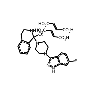 CCC1(N2CCN(c3n[nH]c4cc(F)ccc34)CC2)NCCc2ccccc21.O=C(O)C=CC(=O)O.O=C(O)C=CC(=O)O